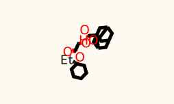 CCC1(OC(=O)COC(=O)C23CC4CC(C2)C(O)C(C4)C3)CCCCC1